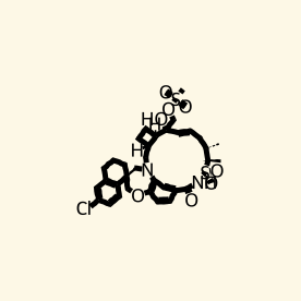 C[C@@H]1[C@@H](C)C/C=C/C(O)(COS(C)(=O)=O)[C@@H]2CC[C@H]2CN2C[C@@]3(CCCc4cc(Cl)ccc43)COc3ccc(cc32)C(=O)NS1(=O)=O